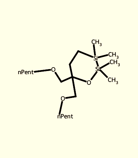 CCCCCOCC1(COCCCCC)CC[Si](C)(C)[Si](C)(C)O1